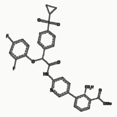 COC(=O)c1cccc(-c2ccc(NC(=O)C(Oc3ccc(F)cc3F)c3ccc(S(=O)(=O)C4CC4)cc3)nc2)c1C(=O)O